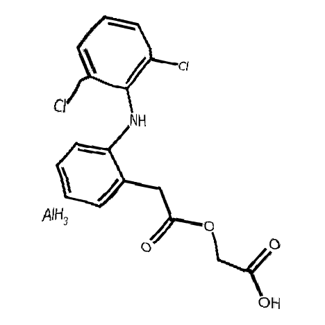 O=C(O)COC(=O)Cc1ccccc1Nc1c(Cl)cccc1Cl.[AlH3]